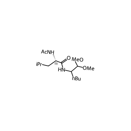 CCCCC(NC(=O)[C@H](CC(C)C)NC(C)=O)C(OC)OC